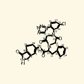 O=C1NCc2cc(NC(=O)C(Cc3ccccc3)N3CC(=O)N(c4cc(Cl)ccc4-n4cnnn4)CC3=O)ccc21